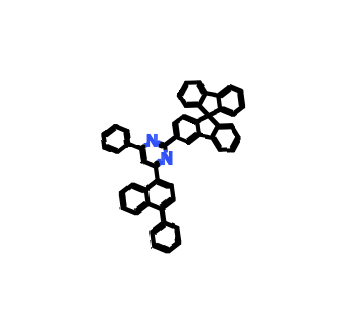 c1ccc(-c2cc(-c3ccc(-c4ccccc4)c4ccccc34)nc(-c3ccc4c(c3)-c3ccccc3C43c4ccccc4-c4ccccc43)n2)cc1